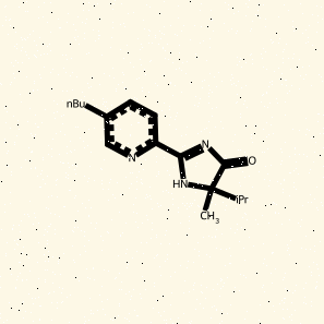 CCCCc1ccc(C2=NC(=O)C(C)(C(C)C)N2)nc1